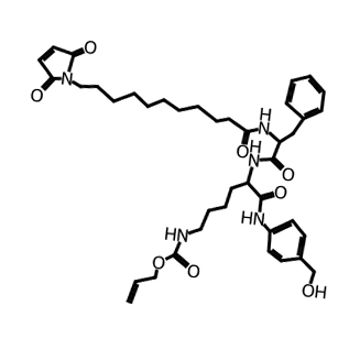 C=CCOC(=O)NCCCCC(NC(=O)C(Cc1ccccc1)NC(=O)CCCCCCCCCCN1C(=O)C=CC1=O)C(=O)Nc1ccc(CO)cc1